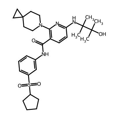 CC(C)(O)C(C)(C)Nc1ccc(C(=O)Nc2cccc(S(=O)(=O)C3CCCC3)c2)c(N2CCC3(CC2)CC3)n1